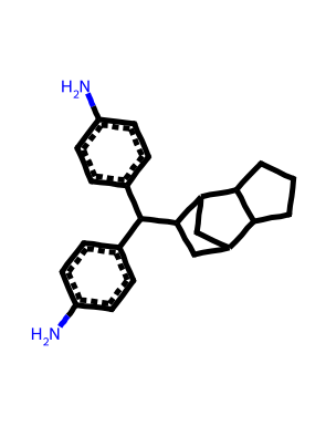 Nc1ccc(C(c2ccc(N)cc2)C2CC3CC2C2CCCC32)cc1